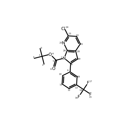 CC(C)(C)OC(=O)n1c(-c2cccc(C(F)(F)F)c2)cc2ccc(Cl)nc21